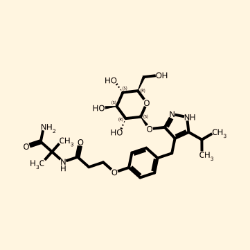 CC(C)c1[nH]nc(O[C@@H]2O[C@H](CO)[C@@H](O)[C@H](O)[C@H]2O)c1Cc1ccc(OCCC(=O)NC(C)(C)C(N)=O)cc1